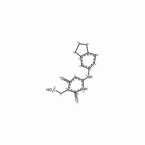 O=C(O)Cn1c(=O)cc(Nc2ccc3c(c2)CCC3)[nH]c1=O